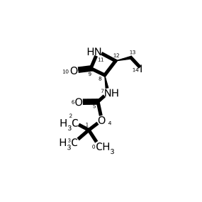 CC(C)(C)OC(=O)N[C@H]1C(=O)N[C@H]1CI